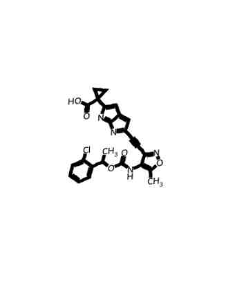 Cc1onc(C#CC2=NC3=NC(C4(C(=O)O)CC4)=CC3=C2)c1NC(=O)OC(C)c1ccccc1Cl